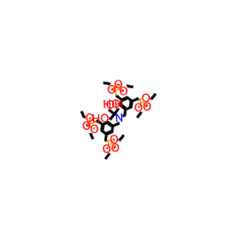 CCOP(=O)(Cc1cc(CN(Cc2cc(CP(=O)(OCC)OCC)cc(CP(=O)(OCC)OCC)c2)C(CO)(CO)CO)cc(CP(=O)(OCC)OCC)c1)OCC